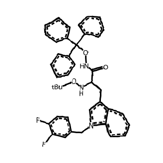 CC(C)(C)ONC(Cc1cn(Cc2ccc(F)c(F)c2)c2ccccc12)C(=O)NOC(c1ccccc1)(c1ccccc1)c1ccccc1